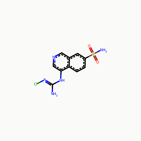 NC(=NCl)Nc1cncc2cc(S(N)(=O)=O)ccc12